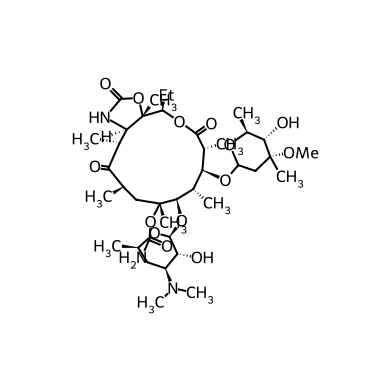 CC[C@H]1OC(=O)[C@H](C)[C@@H](OC2C[C@@](C)(OC)[C@@H](O)[C@H](C)O2)[C@H](C)[C@@H](O[C@@H]2O[C@H](C)C[C@H](N(C)C)[C@H]2O)[C@](C)(OC(N)=O)C[C@@H](C)C(=O)[C@H](C)[C@H]2NC(=O)O[C@@]21C